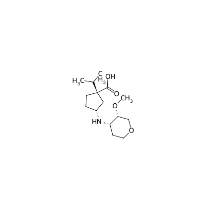 CO[C@@H]1COCC[C@@H]1N[C@@H]1CC[C@@](C(=O)O)(C(C)C)C1